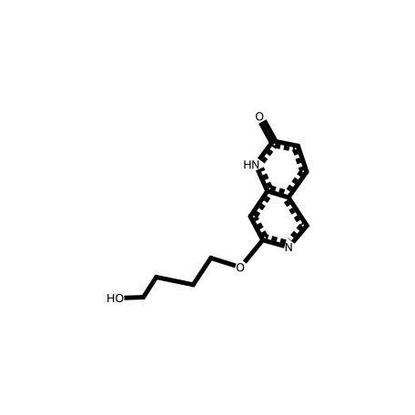 O=c1ccc2cnc(OCCCCO)cc2[nH]1